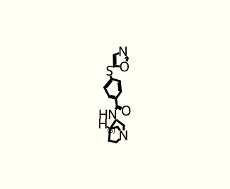 O=C(NC1CN2CC[C@H]1C2)c1ccc(Sc2cnco2)cc1